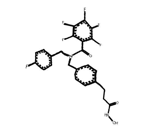 O=C(CCc1ccc(CN(Cc2ccc(F)cc2)C(=O)c2c(F)c(F)c(F)c(F)c2F)cc1)NO